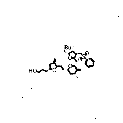 C=C1C[C@H](CCCO)OC1CC[C@H]1C[C@@H](C)C(=C)[C@@H](CC2O[C@H](C[C@H](C)CC)[C@H](C)[C@H]2CS(=O)(=O)c2ccccc2)O1